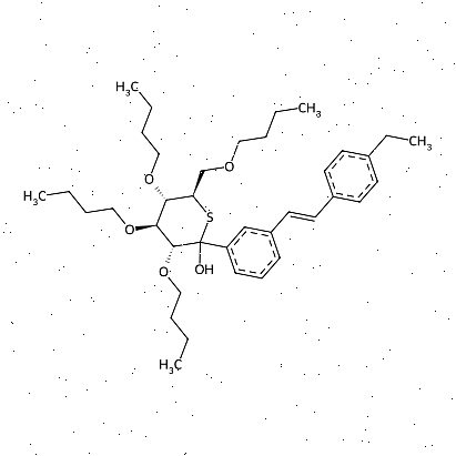 CCCCOC[C@H]1SC(O)(c2cccc(C=Cc3ccc(CC)cc3)c2)[C@H](OCCCC)[C@@H](OCCCC)[C@@H]1OCCCC